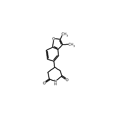 Cc1oc2ccc(C3CC(=O)NC(=O)C3)cc2c1C